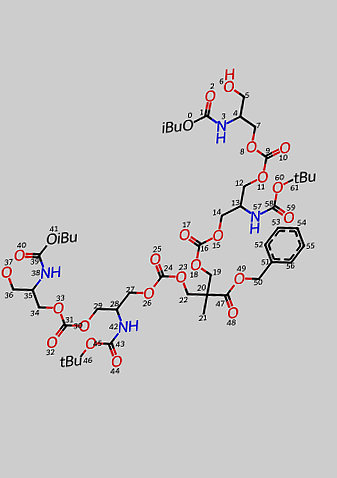 CC(C)COC(=O)NC(CO)COC(=O)OCC(COC(=O)OCC(C)(COC(=O)OCC(COC(=O)OCC(CO)NC(=O)OCC(C)C)NC(=O)OC(C)(C)C)C(=O)OCc1ccccc1)NC(=O)OC(C)(C)C